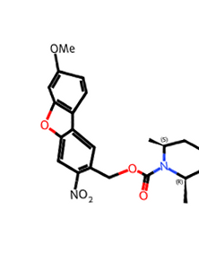 COc1ccc2c(c1)oc1cc([N+](=O)[O-])c(COC(=O)N3[C@H](C)CCC[C@@H]3C)cc12